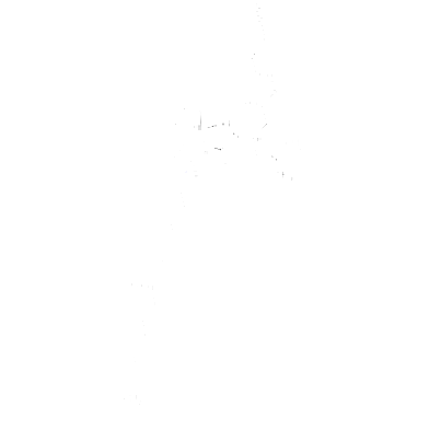 CC#CCOc1ccc(C[C@H](NC(=O)[C@@H](/C=C/CCCCCCC(=O)CCCCCCC)[C@@]2(O)CCOC2=O)C(=O)N(C)C)cc1